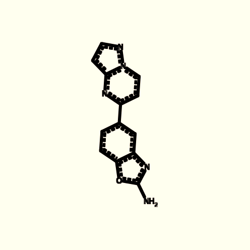 Nc1nc2cc(-c3ccn4nccc4n3)ccc2o1